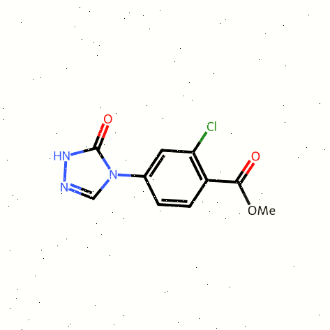 COC(=O)c1ccc(-n2cn[nH]c2=O)cc1Cl